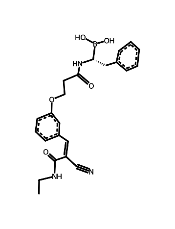 CCNC(=O)C(C#N)=Cc1cccc(OCCC(=O)N[C@@H](Cc2ccccc2)B(O)O)c1